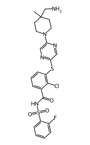 CC1(CN)CCN(c2cnc(Sc3cccc(C(=O)NS(=O)(=O)c4ccccc4F)c3Cl)cn2)CC1